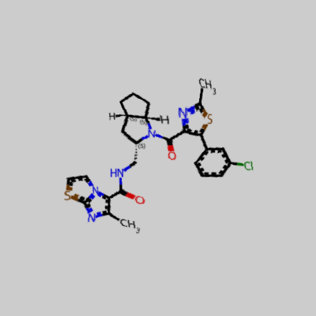 Cc1nc(C(=O)N2[C@H](CNC(=O)c3c(C)nc4sccn34)C[C@@H]3CCC[C@@H]32)c(-c2cccc(Cl)c2)s1